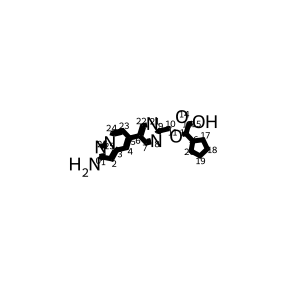 Nc1cc2cc(-c3cnc(COC(C(=O)O)C4CCCC4)nc3)ccn2n1